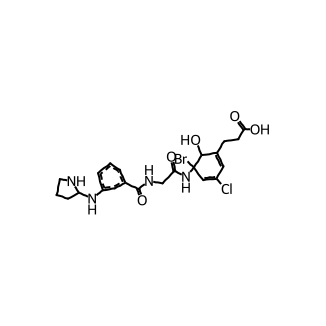 O=C(O)CCC1=CC(Cl)=CC(Br)(NC(=O)CNC(=O)c2cccc(NC3CCCN3)c2)C1O